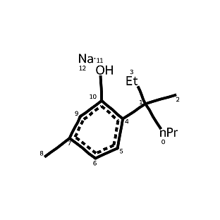 CCCC(C)(CC)c1ccc(C)cc1O.[Na]